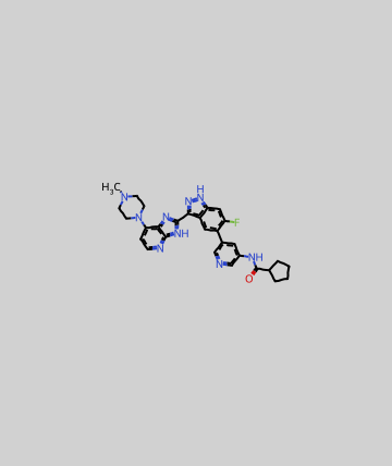 CN1CCN(c2ccnc3[nH]c(-c4n[nH]c5cc(F)c(-c6cncc(NC(=O)C7CCCC7)c6)cc45)nc23)CC1